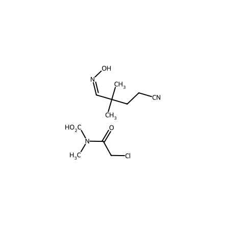 CC(C)(/C=N\O)CCC#N.CN(C(=O)O)C(=O)CCl